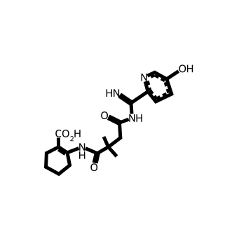 CC(C)(CC(=O)NC(=N)c1ccc(O)cn1)C(=O)NC1=C(C(=O)O)CCCC1